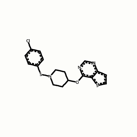 Clc1ccc(SN2CCC(Oc3ncnc4ccsc34)CC2)cc1